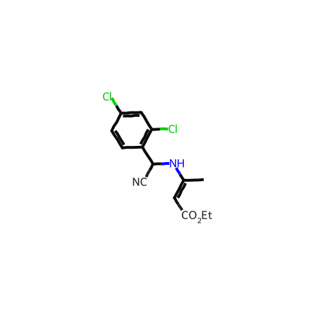 CCOC(=O)C=C(C)NC(C#N)c1ccc(Cl)cc1Cl